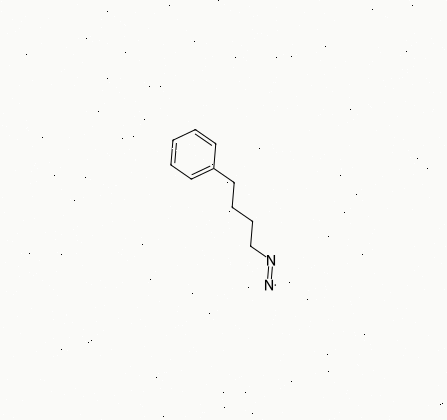 [N]=NCCCCc1ccccc1